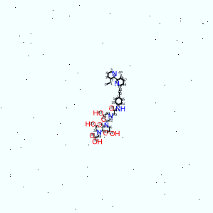 C=Cc1cccnc1-c1nc(C#Cc2ccc(NC(=O)CN(CCN(CCN(CC(=O)O)CC(=O)O)CC(=O)O)CC(=O)O)cc2)ccc1C